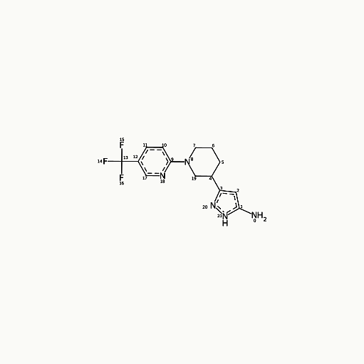 Nc1cc(C2CCCN(c3ccc(C(F)(F)F)cn3)C2)n[nH]1